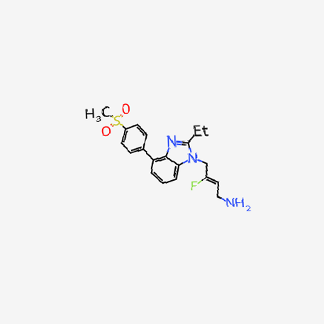 CCc1nc2c(-c3ccc(S(C)(=O)=O)cc3)cccc2n1C/C(F)=C/CN